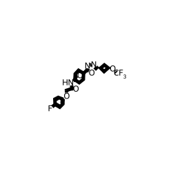 O=C(COc1ccc(F)cc1)NC12CCC(c3nnc([C@H]4C[C@@H](OC(F)(F)F)C4)o3)(CC1)OC2